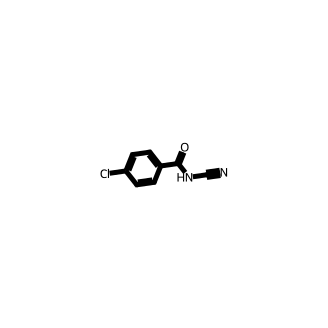 N#CNC(=O)c1ccc(Cl)cc1